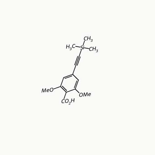 COc1cc(C#C[Si](C)(C)C)cc(OC)c1C(=O)O